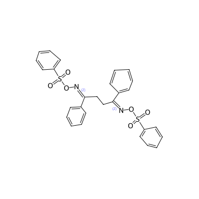 O=S(=O)(O/N=C(/CC/C(=N/OS(=O)(=O)c1ccccc1)c1ccccc1)c1ccccc1)c1ccccc1